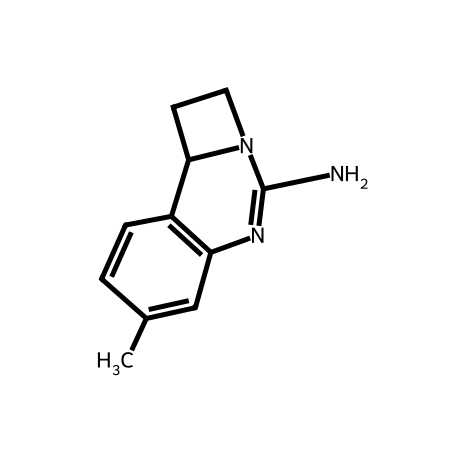 Cc1ccc2c(c1)N=C(N)N1CCC21